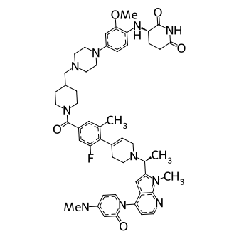 CNc1ccn(-c2ccnc3c2cc([C@H](C)N2CC=C(c4c(C)cc(C(=O)N5CCC(CN6CCN(c7ccc(N[C@@H]8CCC(=O)NC8=O)c(OC)c7)CC6)CC5)cc4F)CC2)n3C)c(=O)c1